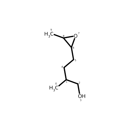 CC(CO)CCC1OC1C